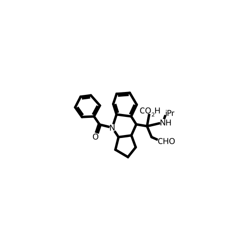 CC(C)NC(CC=O)(C(=O)O)C1c2ccccc2N(C(=O)c2ccccc2)C2CCCC21